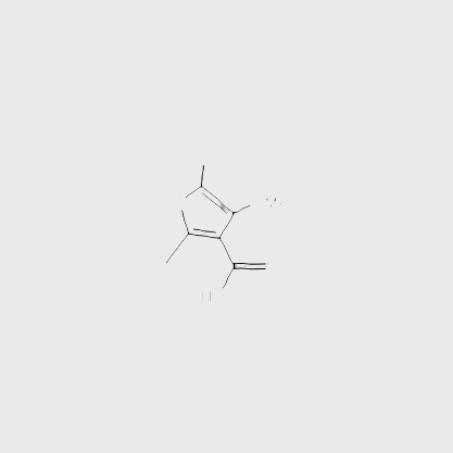 COc1c(Cl)sc(C)c1C(O)=S